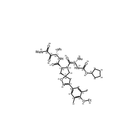 CCC[C@H](NC(=O)[C@@H]1C[C@]2(CC(c3cc(C)c(OCC)c(C)c3)=NO2)CN1C(=O)[C@@H](NC(=O)OC1CCCC1)C(C)(C)C)C(=O)C(=O)NC